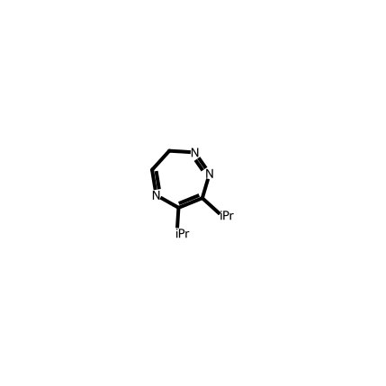 CC(C)C1=C(C(C)C)N=NCC=N1